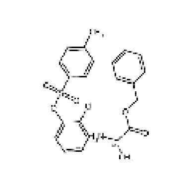 C[C@H](N)C(=O)OCc1ccccc1.Cc1ccc(S(=O)(=O)Oc2ccccc2Cl)cc1